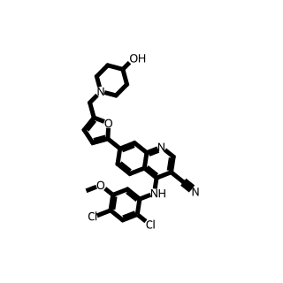 COc1cc(Nc2c(C#N)cnc3cc(-c4ccc(CN5CCC(O)CC5)o4)ccc23)c(Cl)cc1Cl